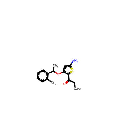 COCC(=O)c1sc(N)cc1O[C@H](C)c1ccccc1C(F)(F)F